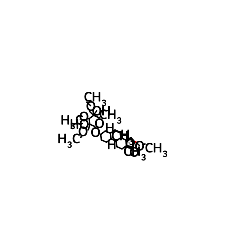 CCOCO[C@]12CCC(=O)[C@@]1(C)CC[C@H]1[C@H]2CC[C@@H]2C[C@@H](O[C@@H]3O[C@@H](C)[C@@](O)(COCC)[C@@H](OC)[C@@]3(O)COCC)CC[C@@]21C